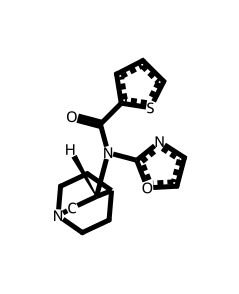 O=C(c1cccs1)N(c1ncco1)[C@H]1CN2CCC1CC2